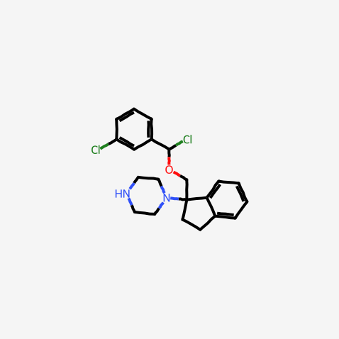 Clc1cccc(C(Cl)OCC2(N3CCNCC3)CCc3ccccc32)c1